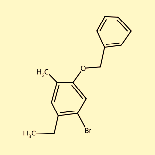 CCc1cc(C)c(OCc2ccccc2)cc1Br